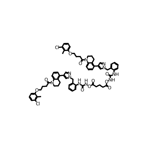 Cc1c(Cl)cccc1OCCCC(=O)N1CCCc2c(-c3cnn(Cc4ccccc4NC(=O)NOC(=O)CCCC(=O)ONC(=O)Nc4ccccc4Cn4cc(-c5cccc6c5CCCN6C(=O)CCCOc5cccc(Cl)c5C)cn4)c3)cccc21